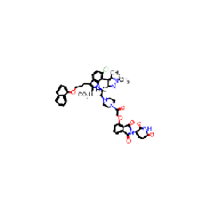 Cc1nn(C)c(C)c1-c1c(Cl)ccc2c(CCCOc3cccc4ccccc34)c(C(=O)O)n(CCN3CCN(C(=O)COc4cccc5c4C(=O)N(C4CCC(=O)NC4=O)C5=O)CC3)c12